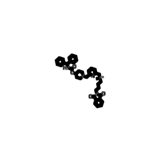 C[N+](C)(CCCCN1C(=O)c2ccccc2C1=O)Cc1cccc(CN2CCC(OC(=O)NC(c3ccccc3)c3ccccc3)CC2)n1